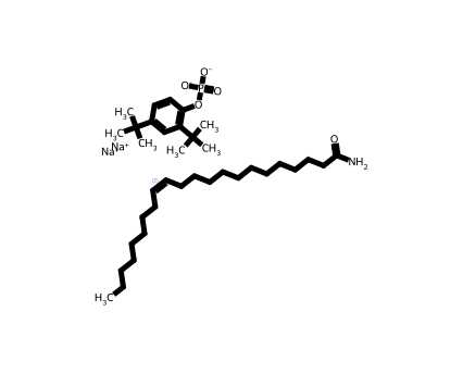 CC(C)(C)c1ccc(OP(=O)([O-])[O-])c(C(C)(C)C)c1.CCCCCCCC/C=C\CCCCCCCCCCCC(N)=O.[Na+].[Na+]